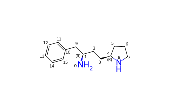 N[C@H](CC[C@H]1CCCN1)Cc1ccccc1